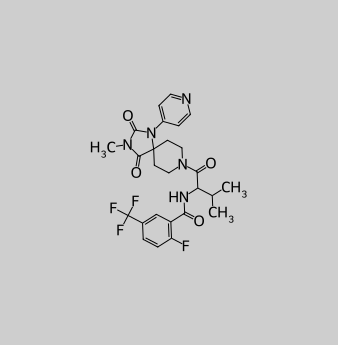 CC(C)C(NC(=O)c1cc(C(F)(F)F)ccc1F)C(=O)N1CCC2(CC1)C(=O)N(C)C(=O)N2c1ccncc1